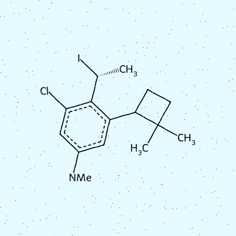 CNc1cc(Cl)c([C@@H](C)I)c(C2CCC2(C)C)c1